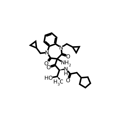 C[C@@H](O)[C@H](NC(=O)CC1CCCC1)C(=O)C1(N)C(=O)N(CC2CC2)c2ccccc2N(CC2CC2)C1=O